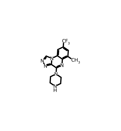 Cc1cc(C(F)(F)F)cc2c1nc(N1CCNCC1)c1nncn12